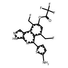 Nc1ccc(-c2nc3[nH]ncc3c3c(CF)c(OC(=O)C(F)(F)F)cc(CF)c23)s1